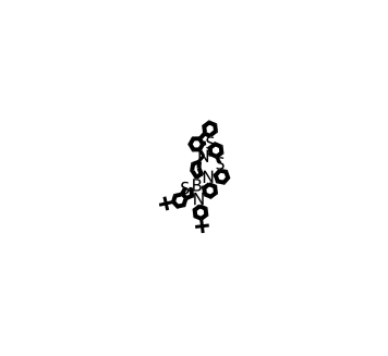 CC(C)(C)c1ccc(N2c3cccc4c3B(c3ccc5cc3N4c3ccccc3Sc3ccccc3N5c3cccc4c3sc3ccccc34)c3sc4cc(C(C)(C)C)ccc4c32)cc1